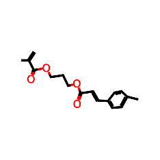 C=C(C)C(=O)OCCCOC(=O)/C=C/c1ccc(C)cc1